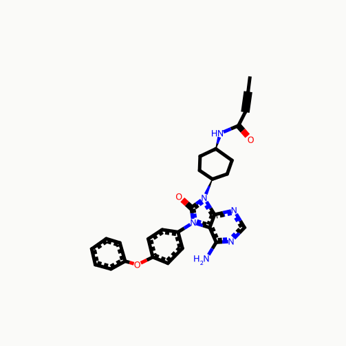 CC#CC(=O)N[C@H]1CC[C@@H](n2c(=O)n(-c3ccc(Oc4ccccc4)cc3)c3c(N)ncnc32)CC1